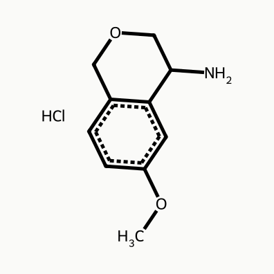 COc1ccc2c(c1)C(N)COC2.Cl